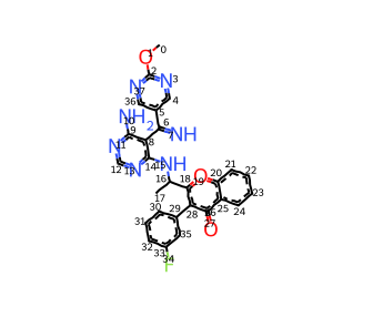 COc1ncc(C(=N)c2c(N)ncnc2NC(C)c2oc3ccccc3c(=O)c2-c2cccc(F)c2)cn1